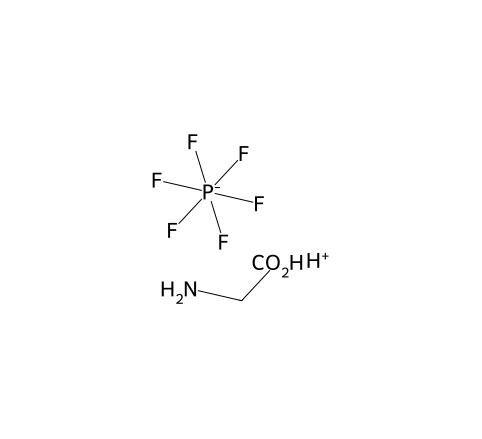 F[P-](F)(F)(F)(F)F.NCC(=O)O.[H+]